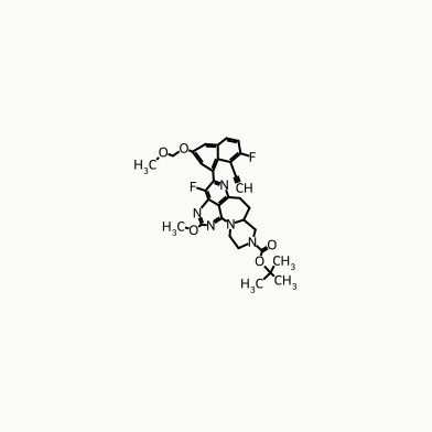 C#Cc1c(F)ccc2cc(OCOC)cc(-c3nc4c5c(nc(OC)nc5c3F)N3CCN(C(=O)OC(C)(C)C)CC3CC4)c12